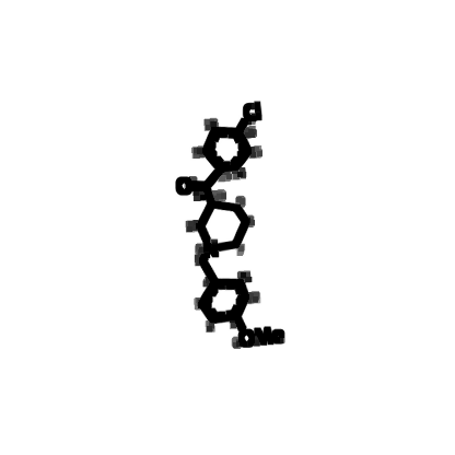 COc1ccc(CN2CCCC(C(=O)c3ccc(Cl)cc3)C2)cc1